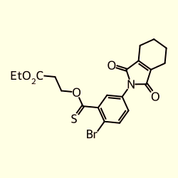 CCOC(=O)CCOC(=S)c1cc(N2C(=O)C3=C(CCCC3)C2=O)ccc1Br